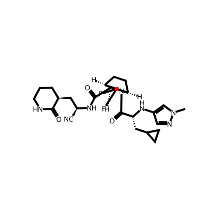 Cn1cc(N[C@H](CC2CC2)C(=O)N2[C@@H]3CC[C@H]([C@@H]2C(=O)N[C@@H](C#N)C[C@@H]2CCCNC2=O)C(F)(F)C3)cn1